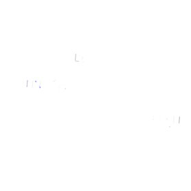 CCC(C(=O)Nc1ccccc1CCCCCc1ccccc1C(=O)O)c1ccccc1